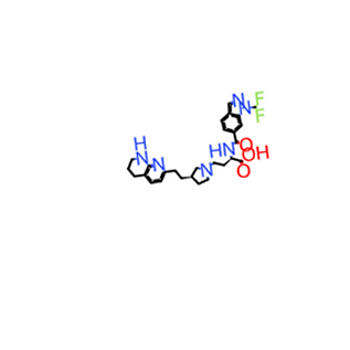 O=C(N[C@H](CCN1CC[C@@H](CCc2ccc3c(n2)NCCC3)C1)C(=O)O)c1ccc2cnn(C(F)F)c2c1